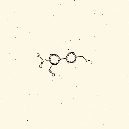 NCc1ccc(-c2ccc([N+](=O)[O-])c(C=O)c2)cc1